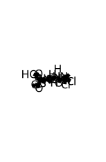 COC(=O)c1sc(N2C[C@@H]3[C@H](C2)[C@@H]3NC(=O)c2[nH]c(C)c(Cl)c2Cl)nc1CC(=O)O